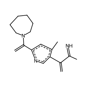 C=C(C(C)=N)c1cnc(C(=C)N2CCCCCC2)cc1C